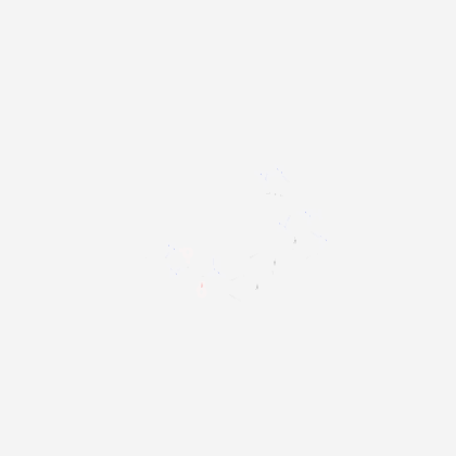 Cc1c(-c2nc3c(-c4ccc5c(NC(=O)c6nc(C7(C)CC7)no6)cccc5c4)ccnc3[nH]2)cnn1C(C)C